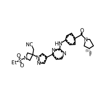 CCS(=O)(=O)N1CC(CC#N)(n2cc(-c3ccnc(Nc4ccc(C(=O)N5CC[C@H](F)C5)cc4)n3)cn2)C1